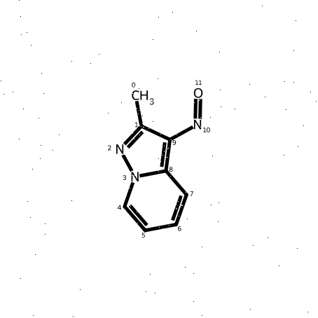 Cc1nn2ccccc2c1N=O